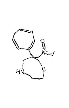 O=[N+]([O-])C1(c2ccccc2)CNCCO1